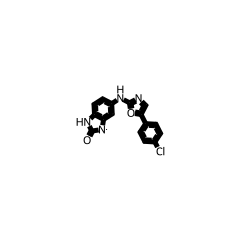 O=C1[N]c2cc(Nc3ncc(-c4ccc(Cl)cc4)o3)ccc2N1